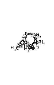 C=CCC1C(=O)C(C)(C)C(O[Si](C)(C)C(C)(C)C)CC(=O)O[C@H](c2ccc3sc(C)nc3c2)C[C@@H]2O[C@]2(C)CCC[C@H](C)[C@@H]1O